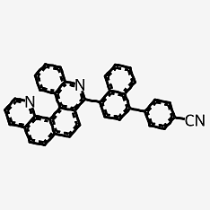 N#Cc1ccc(-c2ccc(-c3nc4ccccc4c4c3ccc3ccc5cccnc5c34)c3ccccc23)cc1